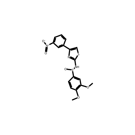 COc1ccc([S+]([O-])Nc2nc(-c3cccc([N+](=O)[O-])c3)cs2)cc1OC